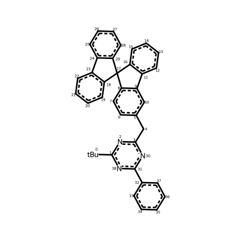 CC(C)(C)c1nc(Cc2ccc3c(c2)-c2ccccc2C32c3ccccc3-c3ccccc32)nc(-c2ccccc2)n1